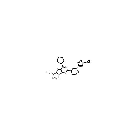 CN(C)C1Nc2nc(C3CCO[C@@H](c4cnn(C5CC5)c4)C3)nc(C3CCCCC3)c2S1